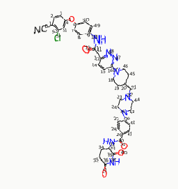 N#Cc1ccc(Oc2ccc(NC(=O)c3ccc(N4CCC(CN5CCN(c6ccc(C(=O)NC7CCC(=O)NC7=O)cc6)CC5)CC4)nn3)cc2)cc1Cl